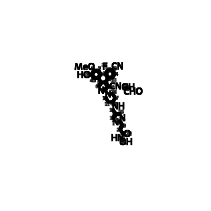 COc1ccc(-c2cnc(N3CCC(NCc4cnc(/C=C/C(=O)NO)nc4)CC3)c(C#N)c2-c2ccc(C#N)c(F)c2)cc1O.O=CO